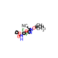 C[Si](C)(C)CCOCn1cc(CCC#N)c2c(Oc3c(F)cc(NC(=O)Oc4ccccc4)cc3F)ccnc21